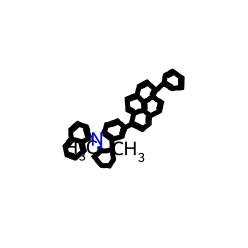 CC12CCCCC1(C)N(c1cccc3ccccc13)c1ccc(-c3ccc4ccc5c(-c6ccccc6)ccc6ccc3c4c65)cc12